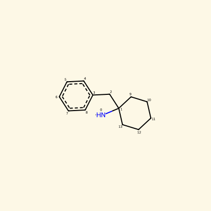 [NH]C1(Cc2ccccc2)CCCCC1